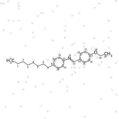 CCCCCCCCc1ccc(N=Cc2ccc(OCC)cc2)cc1